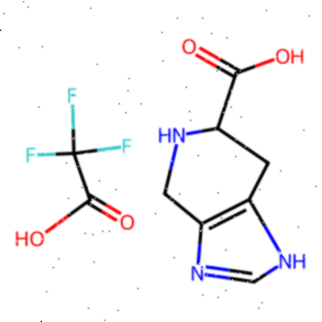 O=C(O)C(F)(F)F.O=C(O)C1Cc2[nH]cnc2CN1